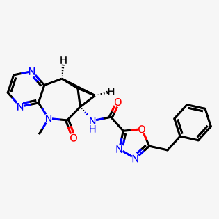 CN1C(=O)[C@@]2(NC(=O)c3nnc(Cc4ccccc4)o3)C3[C@@H](c4nccnc41)[C@H]32